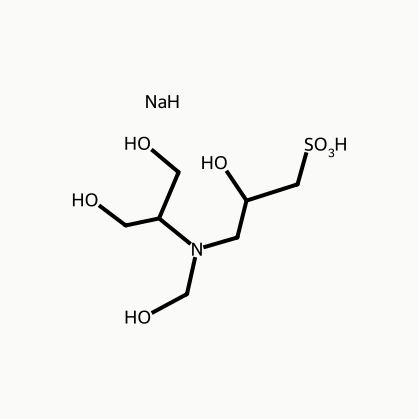 O=S(=O)(O)CC(O)CN(CO)C(CO)CO.[NaH]